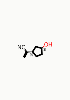 C=C(C#N)[C@@H]1CC[C@H](O)C1